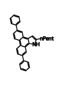 CCCCCc1cc2c3cc(-c4ccccc4)ccc3c3ccc(-c4ccccc4)cc3c2[nH]1